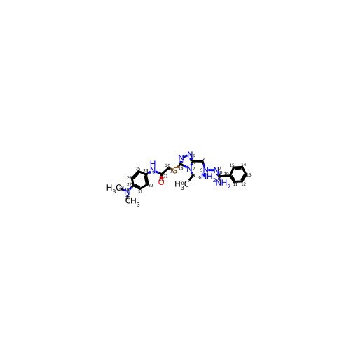 CCn1c(CN(N)/N=C(\N)c2ccccc2)nnc1SCC(=O)Nc1ccc(N(C)C)cc1